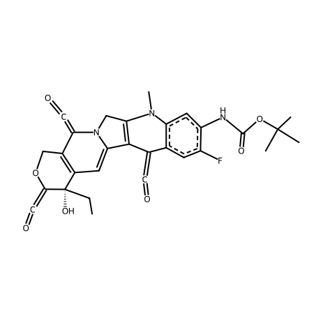 CC[C@@]1(O)C(=C=O)OCC2=C1C=C1C3=C(CN1C2=C=O)N(C)c1cc(NC(=O)OC(C)(C)C)c(F)cc1C3=C=O